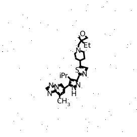 CCC1(CN2CCC(c3cnc(-c4n[nH]c(-c5cc(C)c6ncnn6c5)c4C(C)C)s3)CC2)COC1